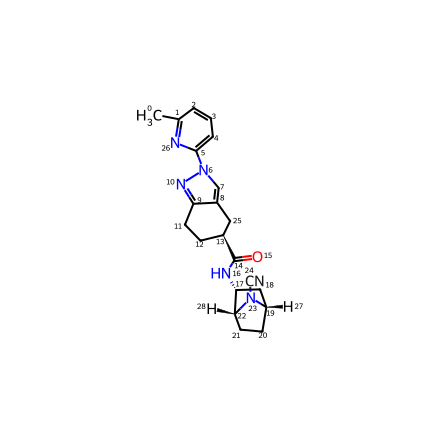 Cc1cccc(-n2cc3c(n2)CC[C@H](C(=O)N[C@@H]2C[C@@H]4CC[C@H]2N4C#N)C3)n1